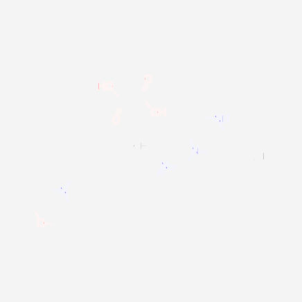 CCC1CN(c2nc(/C=C(\C)c3cccc(N4CCOCC4)c3)cc3ccccc23)CCN1.O=C(O)C(=O)O